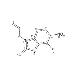 C=CCn1c(=O)sc2c(F)c([N+](=O)[O-])ccc21